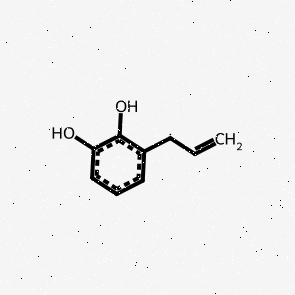 C=C[CH]c1cccc(O)c1O